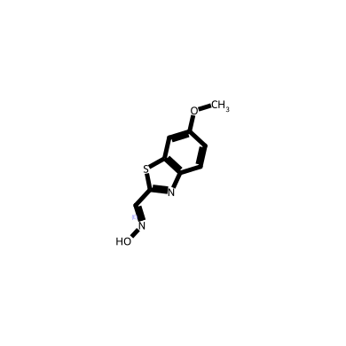 COc1ccc2nc(/C=N/O)sc2c1